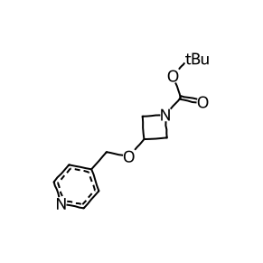 CC(C)(C)OC(=O)N1CC(OCc2ccncc2)C1